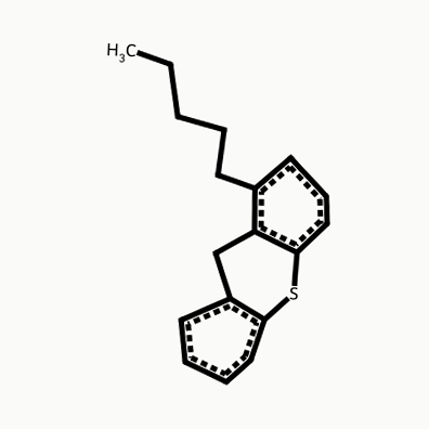 CCCCCc1cccc2c1Cc1ccccc1S2